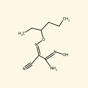 CCCC(CC)ON=C(C#N)C(N)=NO